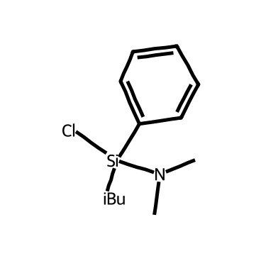 CCC(C)[Si](Cl)(c1ccccc1)N(C)C